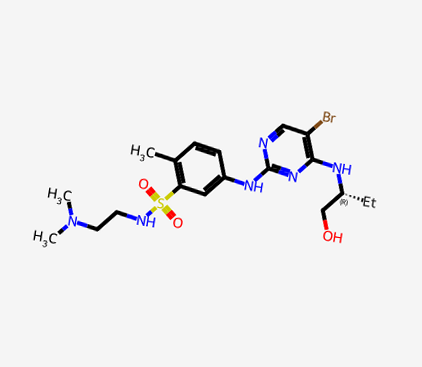 CC[C@H](CO)Nc1nc(Nc2ccc(C)c(S(=O)(=O)NCCN(C)C)c2)ncc1Br